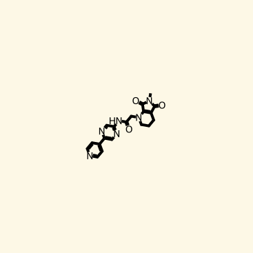 CN1C(=O)C2=C(C1=O)N(CC(=O)Nc1cnc(-c3ccncc3)cn1)CCC2